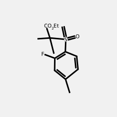 C=S(=O)(c1ccc(C)cc1F)C(C)(C)C(=O)OCC